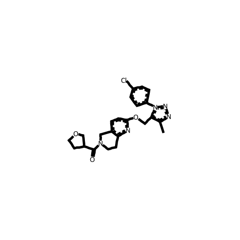 Cc1nnn(-c2ccc(Cl)cc2)c1COc1ccc2c(n1)CCN(C(=O)C1CCOC1)C2